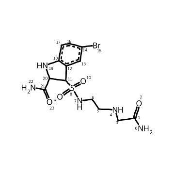 NC(=O)CNCCNS(=O)(=O)C1c2cc(Br)ccc2NC1C(N)=O